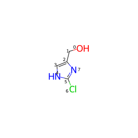 OCc1c[nH]c(Cl)n1